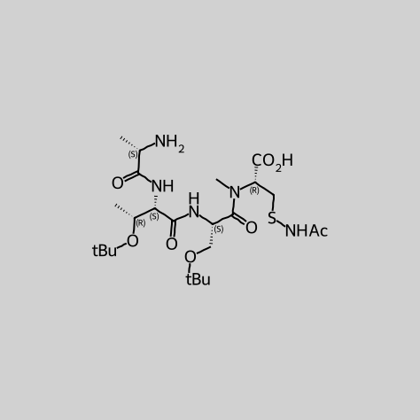 CC(=O)NSC[C@@H](C(=O)O)N(C)C(=O)[C@H](COC(C)(C)C)NC(=O)[C@@H](NC(=O)[C@H](C)N)[C@@H](C)OC(C)(C)C